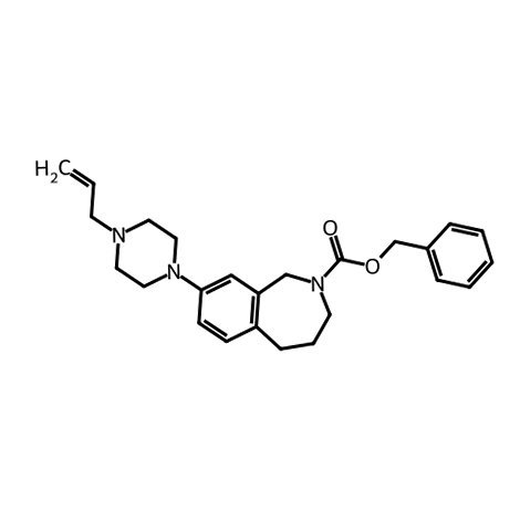 C=CCN1CCN(c2ccc3c(c2)CN(C(=O)OCc2ccccc2)CCC3)CC1